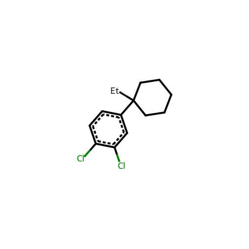 CCC1(c2ccc(Cl)c(Cl)c2)CCCCC1